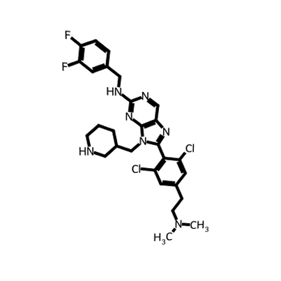 CN(C)CCc1cc(Cl)c(-c2nc3cnc(NCc4ccc(F)c(F)c4)nc3n2CC2CCCNC2)c(Cl)c1